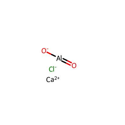 [Ca+2].[Cl-].[O]=[Al][O-]